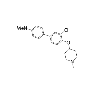 CNc1ccc(-c2ccc(OC3CCN(C)CC3)c(Cl)c2)cc1